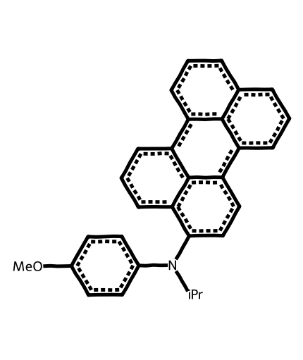 COc1ccc(N(c2ccc3c4cccc5cccc(c6cccc2c63)c54)C(C)C)cc1